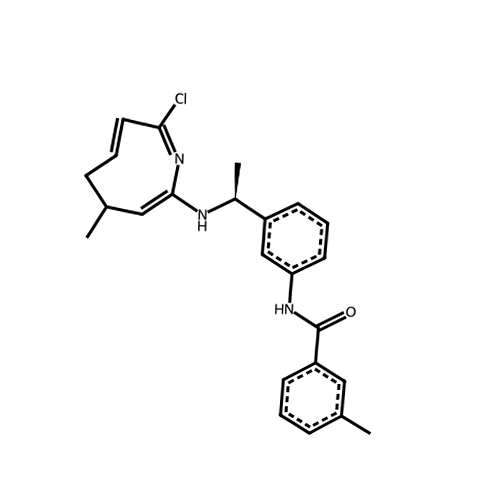 Cc1cccc(C(=O)Nc2cccc([C@H](C)NC3=C/C(C)C/C=C/C(Cl)=N\3)c2)c1